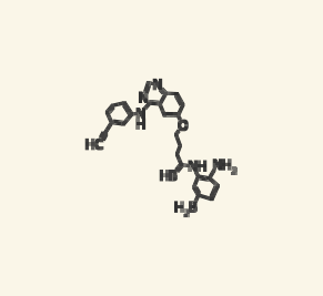 B=C(CCCOc1ccc2ncnc(Nc3cccc(C#C)c3)c2c1)Nc1cc(B)ccc1N